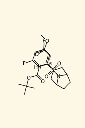 COC(=O)C[C@@H](NC(=O)OC(C)(C)C)C1CC2CCC(C1)N2S(=O)(=O)c1cc(F)cc(F)c1